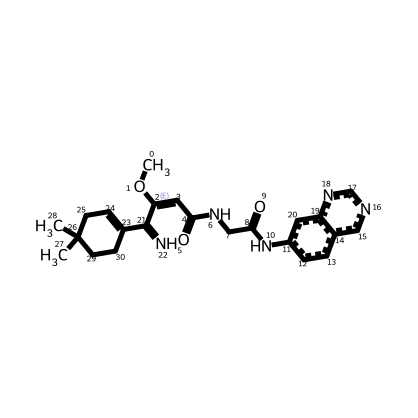 CO/C(=C/C(=O)NCC(=O)Nc1ccc2cncnc2c1)C(=N)C1=CCC(C)(C)CC1